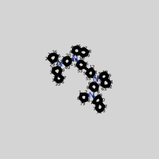 c1ccc(N(c2ccc(N(c3ccc(-c4ccc(N(c5ccc(N(c6ccccc6)c6ccc7ccccc7c6)cc5)c5cccc6ccccc56)cc4)cc3)c3cccc4ccccc34)cc2)c2ccc3ccccc3c2)cc1